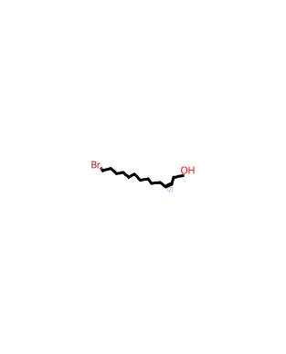 OCC/C=C\CCCCCCCCCCBr